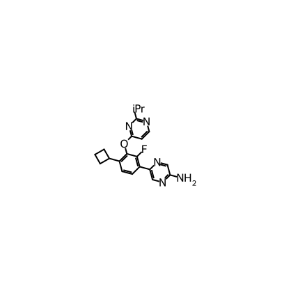 CC(C)c1nccc(Oc2c(C3CCC3)ccc(-c3cnc(N)cn3)c2F)n1